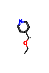 CCO[CH]c1ccncc1